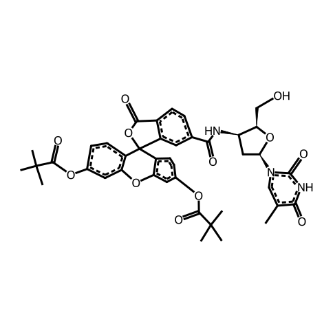 Cc1cn([C@H]2C[C@@H](NC(=O)c3ccc4c(c3)C3(OC4=O)c4ccc(OC(=O)C(C)(C)C)cc4Oc4cc(OC(=O)C(C)(C)C)ccc43)[C@@H](CO)O2)c(=O)[nH]c1=O